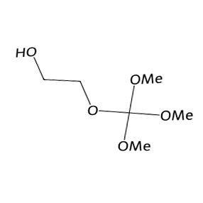 COC(OC)(OC)OCCO